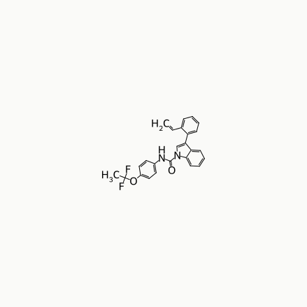 C=Cc1ccccc1-c1cn(C(=O)Nc2ccc(OC(C)(F)F)cc2)c2ccccc12